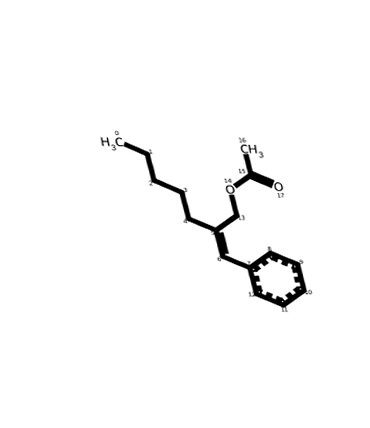 CCCCCC(=Cc1ccccc1)COC(C)=O